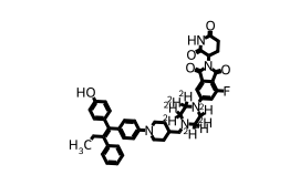 [2H]C1([2H])N(CC2CCN(c3ccc(C(=C(CC)c4ccccc4)c4ccc(O)cc4)cc3)CC2)C([2H])([2H])C([2H])([2H])N(c2cc(F)c3c(c2)C(=O)N(C2CCC(=O)NC2=O)C3=O)C1([2H])[2H]